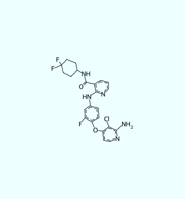 Nc1nccc(Oc2ccc(Nc3ncccc3C(=O)NC3CCC(F)(F)CC3)cc2F)c1Cl